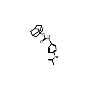 C=C(C)Nc1ccc(NC(=O)OC23CC4CC(CC(C4)C2)C3)cc1